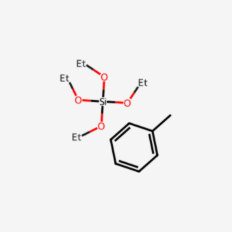 CCO[Si](OCC)(OCC)OCC.Cc1ccccc1